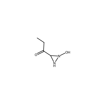 CCC(=O)C1NN1O